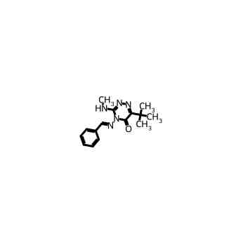 CNc1nnc(C(C)(C)C)c(=O)n1N=Cc1ccccc1